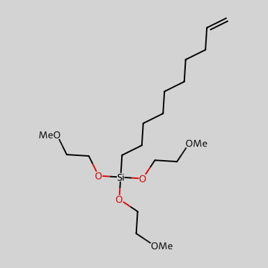 C=CCCCCCCCC[Si](OCCOC)(OCCOC)OCCOC